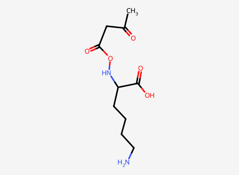 CC(=O)CC(=O)ONC(CCCCN)C(=O)O